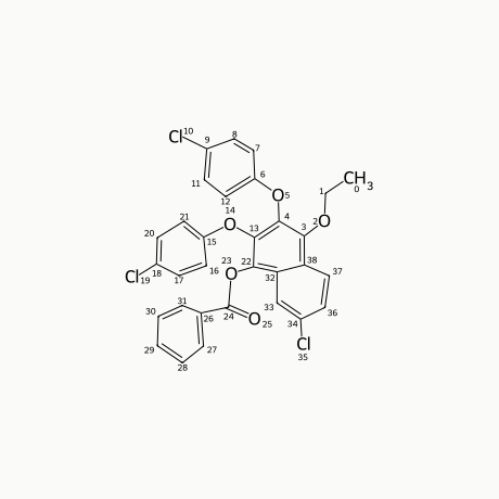 CCOc1c(Oc2ccc(Cl)cc2)c(Oc2ccc(Cl)cc2)c(OC(=O)c2ccccc2)c2cc(Cl)ccc12